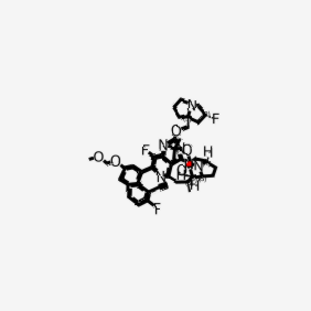 C#Cc1c(F)ccc2cc(OCOC)cc(-c3nc4c5c(nc(OC[C@@]67CCCN6C[C@H](F)C7)nc5c3F)N3C[C@H]5CC[C@@H]([C@@H]3[C@@H](C)C4)N5C(=O)OC(C)(C)C)c12